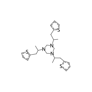 CC(Cc1cccs1)N1CN(C(C)Cc2cccs2)CN(C(C)Cc2cccs2)C1